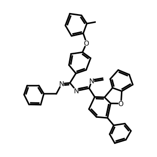 C=N/C(=N\C(=N/Cc1ccccc1)c1ccc(Oc2ccccc2C)cc1)c1ccc(-c2ccccc2)c2oc3ccccc3c12